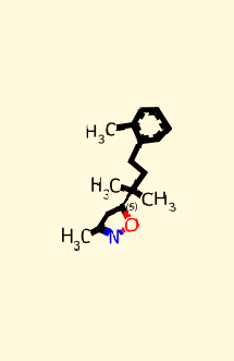 CC1=NO[C@H](C(C)(C)CCc2ccccc2C)C1